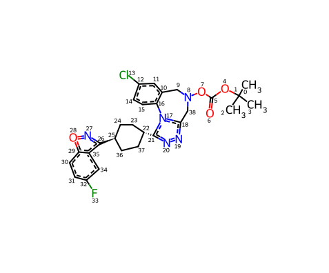 CC(C)(C)OC(=O)ON1Cc2cc(Cl)ccc2-n2c(nnc2[C@H]2CC[C@H](c3noc4ccc(F)cc43)CC2)C1